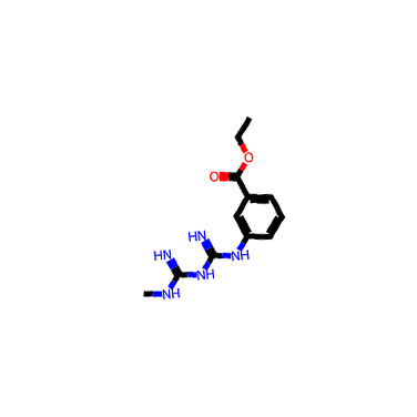 CCOC(=O)c1cccc(NC(=N)NC(=N)NC)c1